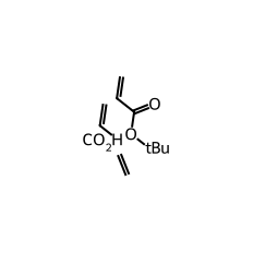 C=C.C=CC(=O)O.C=CC(=O)OC(C)(C)C